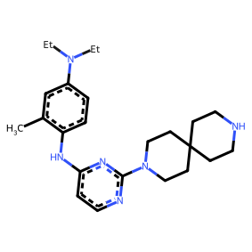 CCN(CC)c1ccc(Nc2ccnc(N3CCC4(CCNCC4)CC3)n2)c(C)c1